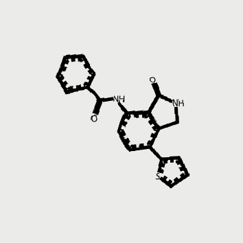 O=C(Nc1ccc(-c2cccs2)c2c1C(=O)NC2)c1ccccc1